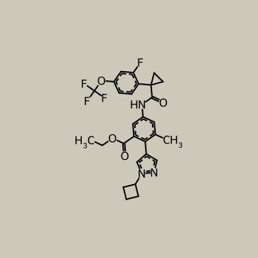 CCOC(=O)c1cc(NC(=O)C2(c3ccc(OC(F)(F)F)cc3F)CC2)cc(C)c1-c1cnn(C2CCC2)c1